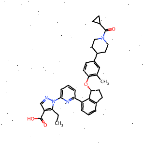 CCc1c(C(=O)O)cnn1-c1cccc(-c2cccc3c2[C@@H](Oc2ccc(C4CCN(C(=O)C5CC5)CC4)cc2C)CC3)n1